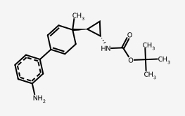 CC(C)(C)OC(=O)N[C@H]1C[C@@H]1C1(C)C=CC(c2cccc(N)c2)=CC1